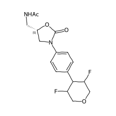 CC(=O)NC[C@H]1CN(c2ccc(C3C(F)COCC3F)cc2)C(=O)O1